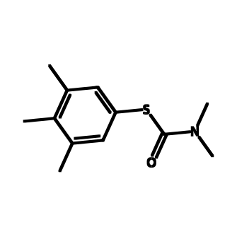 Cc1cc(SC(=O)N(C)C)cc(C)c1C